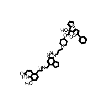 O=C(OC1CCN(CCCn2nnc3cc(CNCCc4ccc(O)c5[nH]c(=O)ccc45)c4c(c32)CCC4)CC1)[C@@](O)(c1cccs1)c1ccc(-c2ccccc2)s1